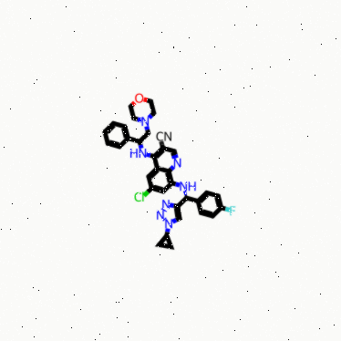 N#Cc1cnc2c(N[C@@H](c3ccc(F)cc3)c3cn(C4CC4)nn3)cc(Cl)cc2c1NC(CN1CCOCC1)c1ccccc1